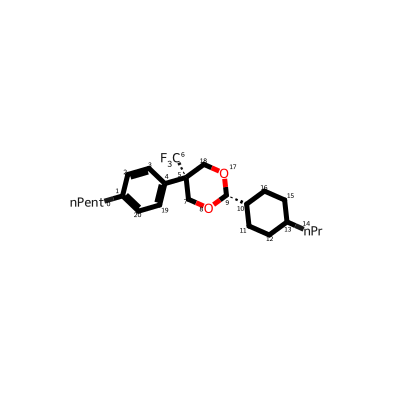 CCCCCc1ccc([C@]2(C(F)(F)F)CO[C@@H](C3CCC(CCC)CC3)OC2)cc1